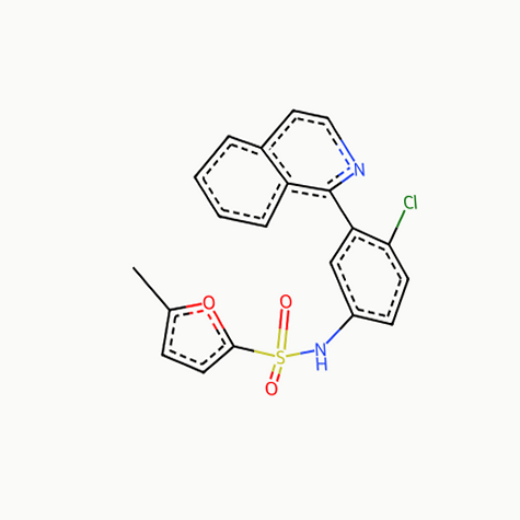 Cc1ccc(S(=O)(=O)Nc2ccc(Cl)c(-c3nccc4ccccc34)c2)o1